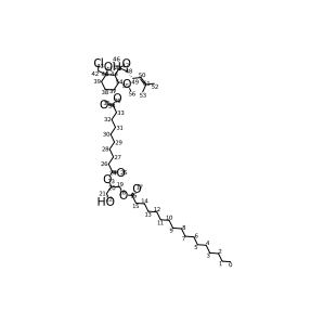 CCCCCCCCCCCCCCCCC(=O)OCC(CO)OC(=O)CCCCCCCCC(=O)O[C@@H]1CC[C@](O)(CCl)[C@@H]([C@@]2(C)O[C@@H]2CC=C(C)C)[C@@H]1OC